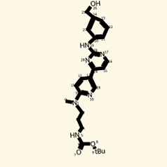 CN(CCCNC(=O)OC(C)(C)C)c1ccc(-c2ccnc(Nc3cccc(CO)c3)n2)cn1